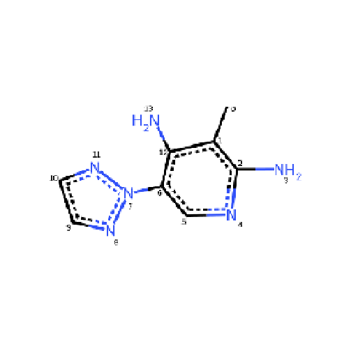 Cc1c(N)ncc(-n2nccn2)c1N